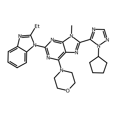 CCc1nc2ccccc2n1-c1nc(N2CCOCC2)c2nc(-c3ncnn3C3CCCC3)n(C)c2n1